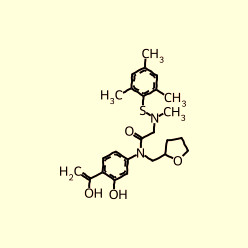 C=C(O)c1ccc(N(CC2CCCO2)C(=O)CN(C)Sc2c(C)cc(C)cc2C)cc1O